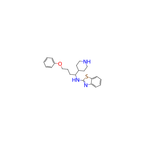 c1ccc(OCCCC(Nc2nc3ccccc3s2)C2CCNCC2)cc1